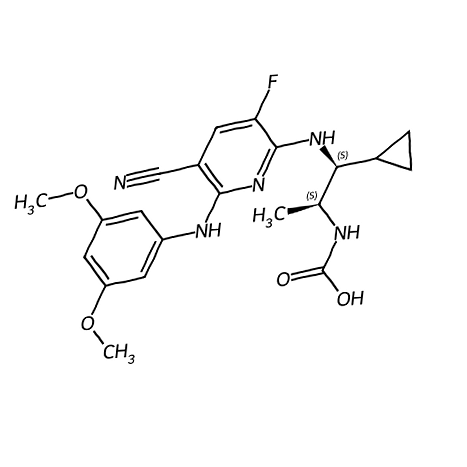 COc1cc(Nc2nc(N[C@@H](C3CC3)[C@H](C)NC(=O)O)c(F)cc2C#N)cc(OC)c1